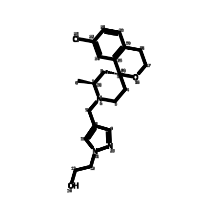 C[C@H]1C[C@@]2(CCN1Cc1cnn(CCO)c1)OCCc1ccc(Cl)cc12